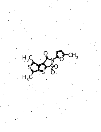 Cc1ccc(N2C(=O)c3c(sc4c(C)sc(C)c34)S2(=O)=O)o1